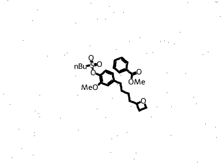 CCCCS(=O)(=O)Oc1ccc(CCCCC2CCO2)cc1OC.COC(=O)c1ccccc1